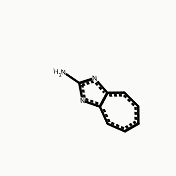 Nc1nc2cccccc-2n1